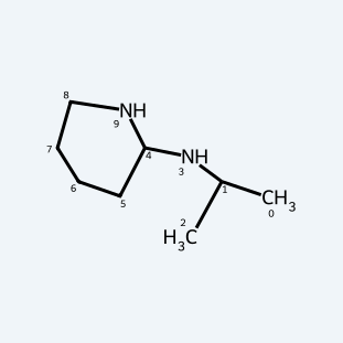 CC(C)NC1CCCCN1